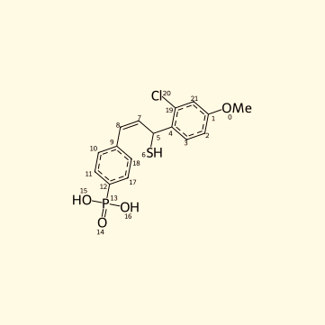 COc1ccc(C(S)/C=C\c2ccc(P(=O)(O)O)cc2)c(Cl)c1